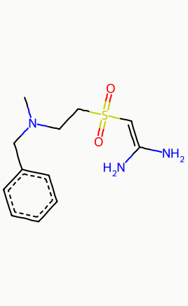 CN(CCS(=O)(=O)C=C(N)N)Cc1ccccc1